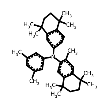 Cc1cc(C)cc(N(c2ccc3c(c2)C(C)(C)CCC3(C)C)c2cc3c(cc2C)C(C)(C)CCC3(C)C)c1